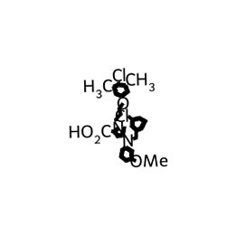 COc1cccc(N(Cc2cccc(Cl)c2)c2cc(C(=O)O)n(CCCOc3cc(C)c(Cl)c(C)c3)c2)c1